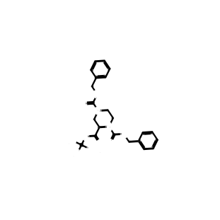 CC(C)(C)OC(=O)C1CN(C(=O)OCc2ccccc2)CCN1C(=O)OCc1ccccc1